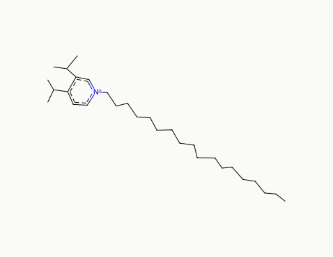 CCCCCCCCCCCCCCCCCC[n+]1ccc(C(C)C)c(C(C)C)c1